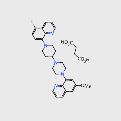 COc1cc(N2CCN(C3CCN(c4ccc(F)c5cccnc45)CC3)CC2)c2ncccc2c1.O=C(O)CCC(=O)O